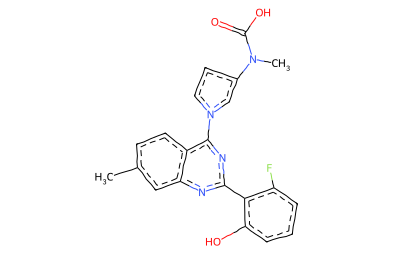 Cc1ccc2c(-n3ccc(N(C)C(=O)O)c3)nc(-c3c(O)cccc3F)nc2c1